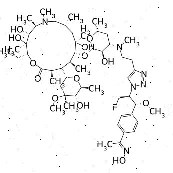 CC[C@H]1OC(=O)[C@H](C)C([C@H]2C[C@@](C)(OC)[C@@H](O)[C@H](C)O2)[C@H](C)[C@@H](O[C@@H]2O[C@H](C)C[C@H](N(C)CCc3cn([C@H](CF)[C@H](OC)c4ccc(/C(C)=N/O)cc4)nn3)[C@H]2O)[C@](C)(O)C[C@@H](C)CN(C)[C@H](C)[C@@H](O)[C@]1(C)O